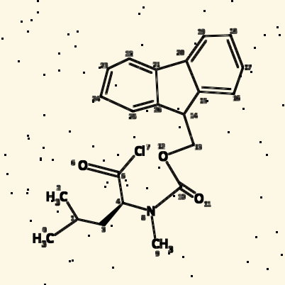 CC(C)C[C@@H](C(=O)Cl)N(C)C(=O)OCC1c2ccccc2-c2ccccc21